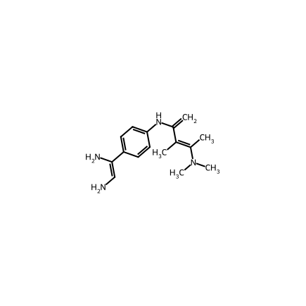 C=C(Nc1ccc(/C(N)=C/N)cc1)/C(C)=C(\C)N(C)C